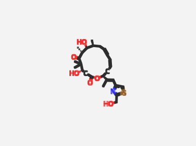 C/C(=C\c1csc(CO)n1)[C@@H]1C/C=C\C=C\C[C@H](C)[C@H](O)[C@@H](C)C(=O)C(C)(C)[C@@H](O)CC(=O)O1